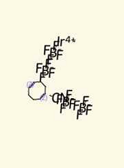 C1=C\CC/C=C\CC/1.CC#N.F[B-](F)(F)F.F[B-](F)(F)F.F[B-](F)(F)F.F[B-](F)(F)F.[Ir+4]